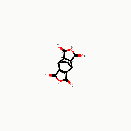 O=C1OC(=O)C2=C1C1CCC2C2C(=O)OC(=O)C12